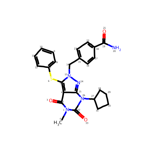 Cn1c(=O)c2c(Sc3ccccc3)n(Cc3ccc(C(N)=O)cc3)nc2n(C2CCCC2)c1=O